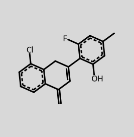 C=C1C=C(c2c(O)cc(C)cc2F)Cc2c(Cl)cccc21